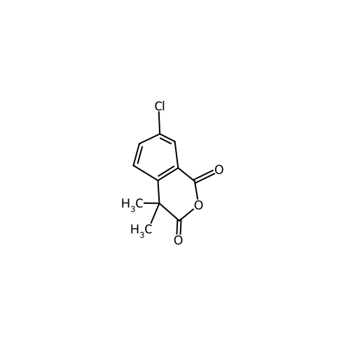 CC1(C)C(=O)OC(=O)c2cc(Cl)ccc21